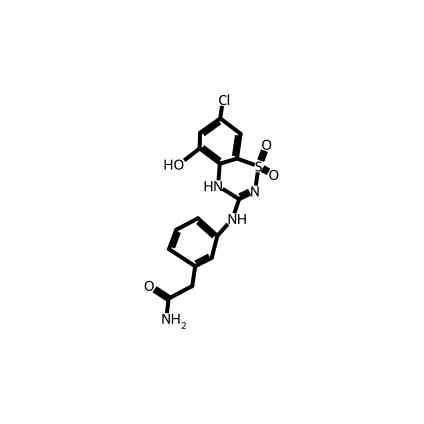 NC(=O)Cc1cccc(NC2=NS(=O)(=O)c3cc(Cl)cc(O)c3N2)c1